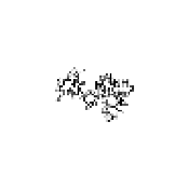 CC(=O)N1C(C2CC2)CN(c2cccc(-c3cc(-c4ccnn4C4CCOCC4)c4c(N)ncnn34)c2)CC1C1CC1